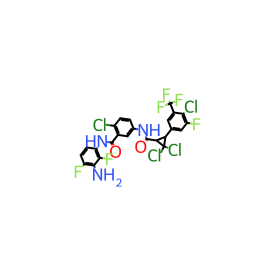 Nc1c(F)ccc(NC(=O)c2cc(NC(=O)C3C(c4cc(F)c(Cl)c(C(F)(F)F)c4)C3(Cl)Cl)ccc2Cl)c1F